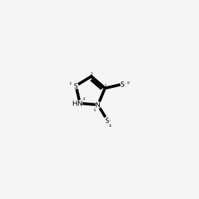 [S]C1=CSNN1[S]